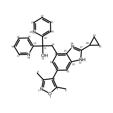 Cc1noc(C)c1-c1cc(CC(O)(c2ccccn2)c2ccccn2)c2nc(C3CC3)[nH]c2c1